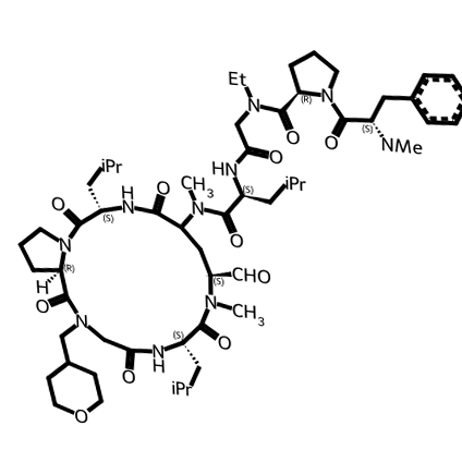 CCN(CC(=O)N[C@@H](CC(C)C)C(=O)N(C)C1C[C@@H](C=O)N(C)C(=O)[C@H](CC(C)C)NC(=O)CN(CC2CCOCC2)C(=O)[C@H]2CCCN2C(=O)[C@H](CC(C)C)NC1=O)C(=O)[C@H]1CCCN1C(=O)[C@H](Cc1ccccc1)NC